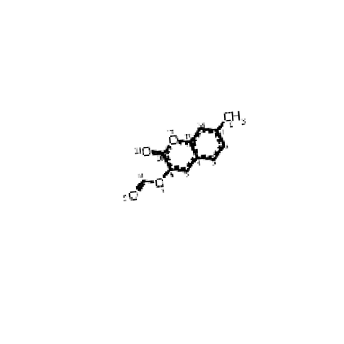 Cc1ccc2cc(OC=O)c(=O)oc2c1